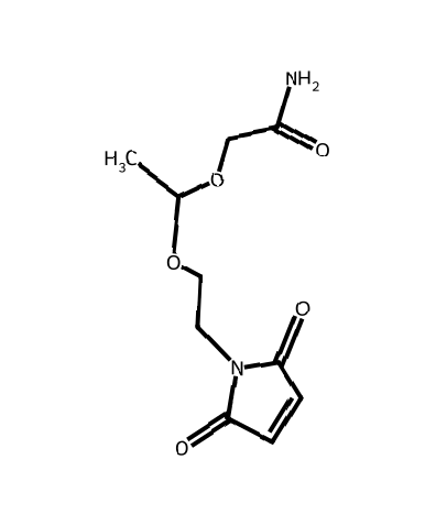 CC(OCCN1C(=O)C=CC1=O)OCC(N)=O